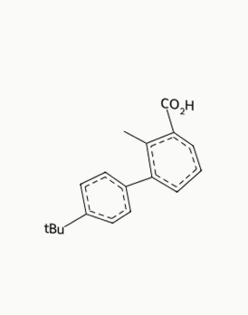 Cc1c(C(=O)O)cccc1-c1ccc(C(C)(C)C)cc1